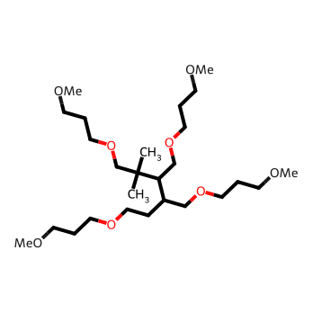 COCCCOCCC(COCCCOC)C(COCCCOC)C(C)(C)COCCCOC